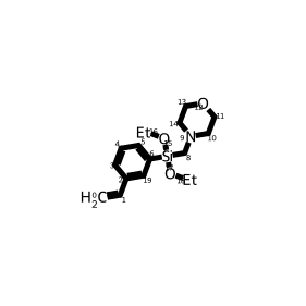 C=Cc1cccc([Si](CN2CCOCC2)(OCC)OCC)c1